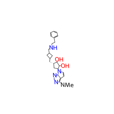 CNc1ncnc2c1ccn2[C@@H]1C[C@H](CC2CC(CNCCc3ccccc3)C2)[C@@H](O)[C@H]1O